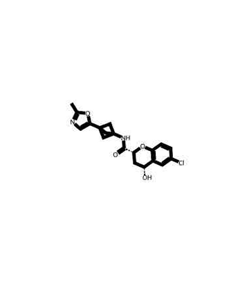 Cc1ncc(C23CC(NC(=O)[C@H]4C[C@@H](O)c5cc(Cl)ccc5O4)(C2)C3)o1